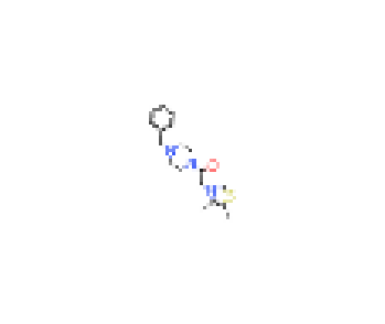 Cc1sc[n+](CC(=O)N2CCN(Cc3ccccc3)CC2)c1C